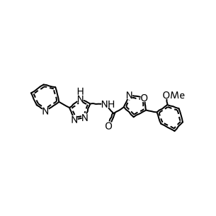 COc1ccccc1-c1cc(C(=O)Nc2nnc(-c3ccccn3)[nH]2)no1